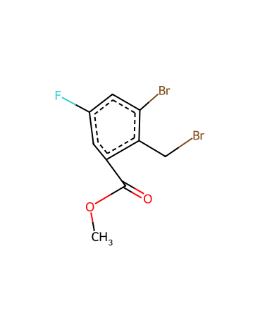 COC(=O)c1cc(F)cc(Br)c1CBr